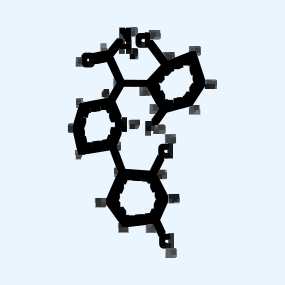 NC(=O)C(c1cccc(-c2ccc(Cl)cc2Cl)n1)c1c(F)cccc1Cl